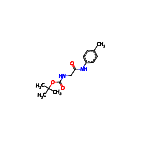 Cc1ccc(NC(=O)CNC(=O)OC(C)(C)C)cc1